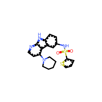 O=S(=O)(Nc1ccc2[nH]c3nccc(N4CCCCC4)c3c2c1)c1cccs1